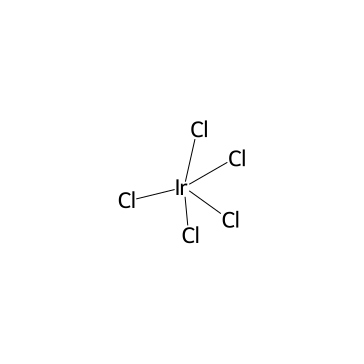 [Cl][Ir]([Cl])([Cl])([Cl])[Cl]